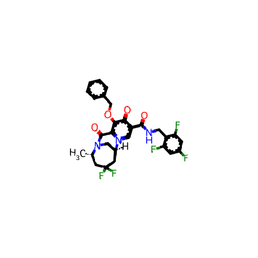 C[C@H]1CC(F)(F)C[C@H]2CN1C(=O)c1c(OCc3ccccc3)c(=O)c(C(=O)NCc3c(F)cc(F)cc3F)cn12